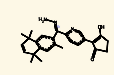 Cc1cc2c(cc1/C(=N\N)c1ccc(C3=C(O)CCC3=O)cn1)C(C)(C)C=CC2(C)C